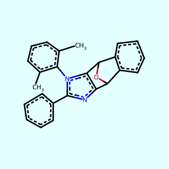 Cc1cccc(C)c1-n1c(-c2ccccc2)nc2c1C1OC2c2ccccc21